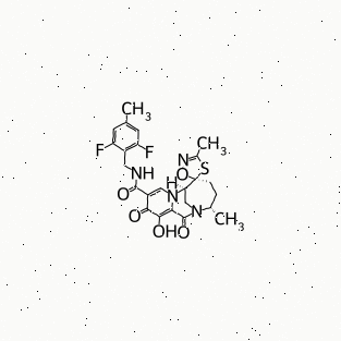 CC1=NO[C@@]2(CC[C@H](C)N3C[C@H]2n2cc(C(=O)NCc4c(F)cc(C)cc4F)c(=O)c(O)c2C3=O)S1